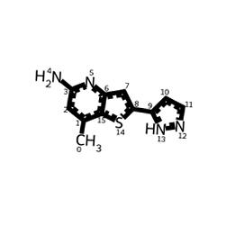 Cc1cc(N)nc2cc(-c3ccn[nH]3)sc12